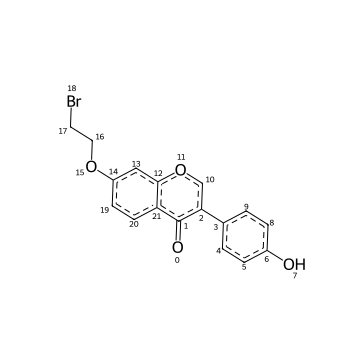 O=c1c(-c2ccc(O)cc2)coc2cc(OCCBr)ccc12